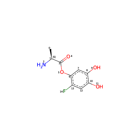 C[C@H](N)C(=O)Oc1cc(O)c(O)cc1F